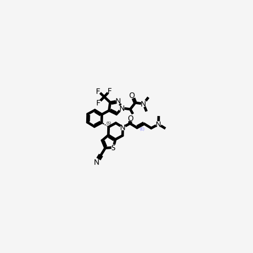 CC(C(=O)N(C)C)n1cc(-c2ccccc2[C@@H]2CN(C(=O)/C=C/CN(C)C)Cc3sc(C#N)cc32)c(C(F)(F)F)n1